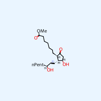 CCCCC[C@H](O)/C=C/[C@H]1[C@H](O)CC(=O)[C@@H]1CCCCCCC(=O)OC